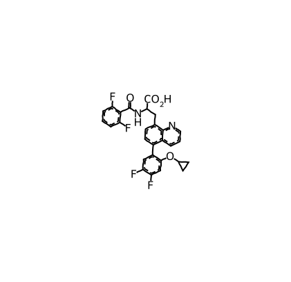 O=C(NC(Cc1ccc(-c2cc(F)c(F)cc2OC2CC2)c2cccnc12)C(=O)O)c1c(F)cccc1F